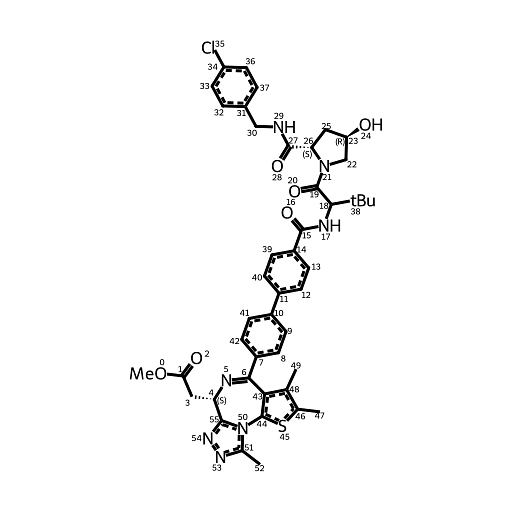 COC(=O)C[C@@H]1N=C(c2ccc(-c3ccc(C(=O)NC(C(=O)N4C[C@H](O)C[C@H]4C(=O)NCc4ccc(Cl)cc4)C(C)(C)C)cc3)cc2)c2c(sc(C)c2C)-n2c(C)nnc21